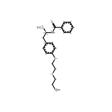 CCCCCCCCCCCCSCCOc1ccc(C[C@H](NC(=O)c2ccccc2)C(=O)OCC)cc1